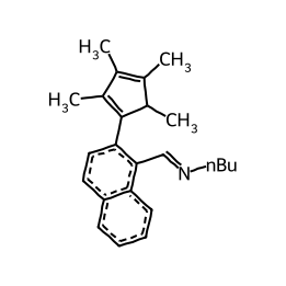 CCCCN=Cc1c(C2=C(C)C(C)=C(C)C2C)ccc2ccccc12